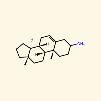 C[C@@]12CCC[C@H]1[C@@H]1CC=C3CC(N)CC[C@]3(C)[C@@H]1CC2